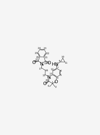 CC1(C)Oc2ccc(NC3CC3)cc2N(CCCN2C(=O)c3ccccc3C2=O)C1=O